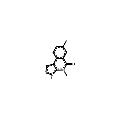 Cc1ccc2c(c1)c(=O)n(C)c1[nH]ncc21